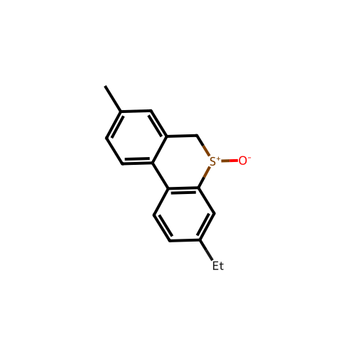 CCc1ccc2c(c1)[S+]([O-])Cc1cc(C)ccc1-2